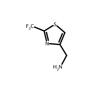 NCc1csc(C(F)(F)F)n1